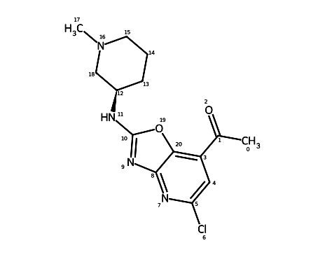 CC(=O)c1cc(Cl)nc2nc(N[C@@H]3CCCN(C)C3)oc12